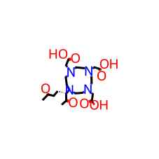 CC(=O)CC[C@@H](C(C)=O)N1CCN(CC(=O)O)CCN(CC(=O)O)CCN(CC(=O)O)CC1